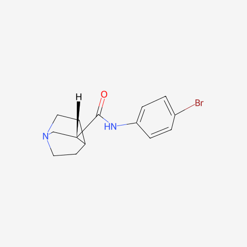 O=C(Nc1ccc(Br)cc1)[C@H]1CN2CCC1CC2